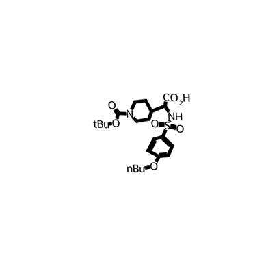 CCCCOc1ccc(S(=O)(=O)NC(C(=O)O)C2CCN(C(=O)OC(C)(C)C)CC2)cc1